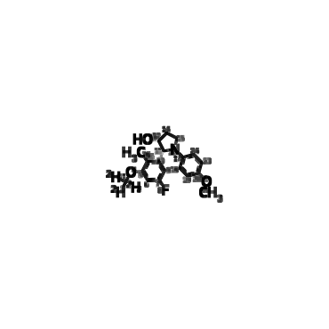 [2H]C([2H])([2H])Oc1cc(F)cc([C@@H]2[C@H](O)CCN2c2ccc(OC)cc2)c1C